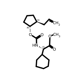 C=CC[C@@H]1CCC[C@H]1OC(=O)N[C@H](C(=O)OC)C1CCCCC1